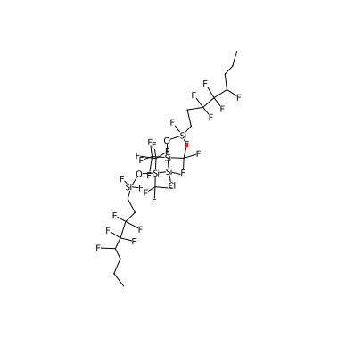 CCCC(F)C(F)(F)C(F)(F)CC[Si](F)(F)O[Si](C(F)(F)F)(C(F)(F)F)[Si](C)(Cl)[Si](O[Si](F)(F)CCC(F)(F)C(F)(F)C(F)CCC)(C(F)(F)F)C(F)(F)F